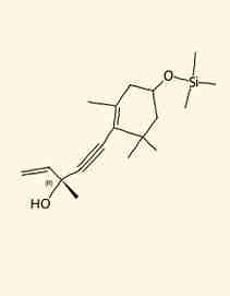 C=C[C@@](C)(O)C#CC1=C(C)CC(O[Si](C)(C)C)CC1(C)C